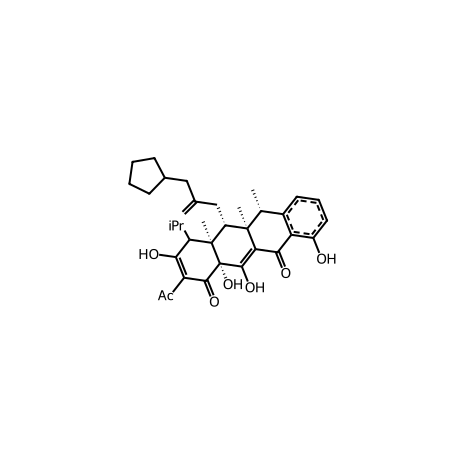 C=C(CC1CCCC1)C[C@@H]1[C@]2(C)C(=C(O)[C@@]3(O)C(=O)C(C(C)=O)=C(O)C(C(C)C)[C@@]13C)C(=O)c1c(O)cccc1[C@H]2C